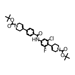 CC(C)(C)OC(=O)N1CC=C(c2ccc(C(=O)Nc3cc(F)c(C4=CCN(C(=O)OC(C)(C)C)CC4)c(Cl)c3)cc2)CC1